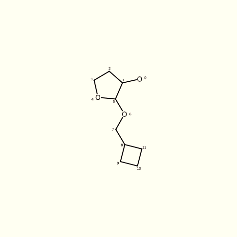 [O]C1CCOC1OCC1CCC1